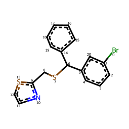 Brc1cccc(C(SCc2nccs2)c2ccccc2)c1